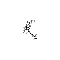 C=C(C)C(=O)OCCOC(=O)C1C2CC3C(OC(=O)C31)C2OC(=O)C(F)(F)S(=O)(=O)O